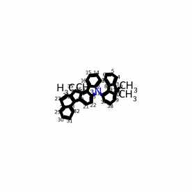 CC1(C)c2ccccc2-c2c(-n3c4ccccc4c4c5c(ccc43)-c3c(ccc4ccccc34)C5(C)C)cccc21